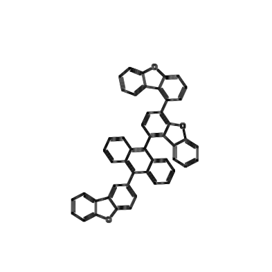 c1ccc2c(c1)oc1ccc(-c3c4ccccc4c(-c4ccc(-c5cccc6oc7ccccc7c56)c5oc6ccccc6c45)c4ccccc34)cc12